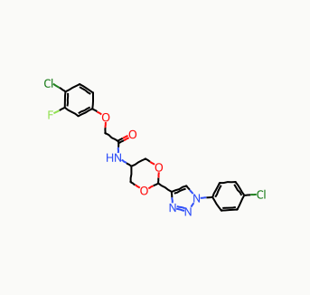 O=C(COc1ccc(Cl)c(F)c1)NC1COC(c2cn(-c3ccc(Cl)cc3)nn2)OC1